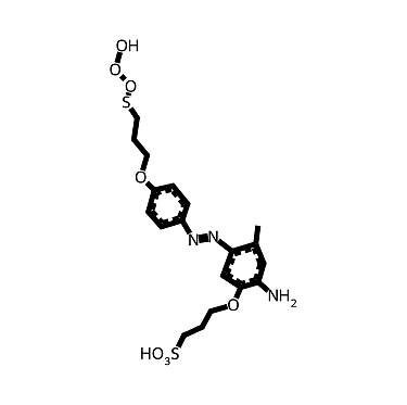 Cc1cc(N)c(OCCCS(=O)(=O)O)cc1N=Nc1ccc(OCCCSOOO)cc1